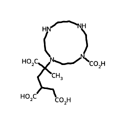 CC(CC(CC(=O)O)C(=O)O)(C(=O)O)N1CCNCCNCCN(C(=O)O)CC1